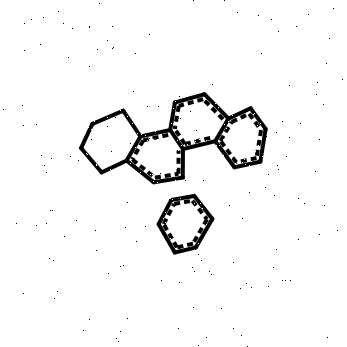 c1ccc2c(c1)ccc1c3c(ccc12)CCCC3.c1ccccc1